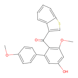 COc1ccc(-c2cc(O)cc(OC)c2C(=O)c2csc3ccccc23)cc1